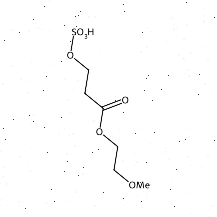 COCCOC(=O)CCOS(=O)(=O)O